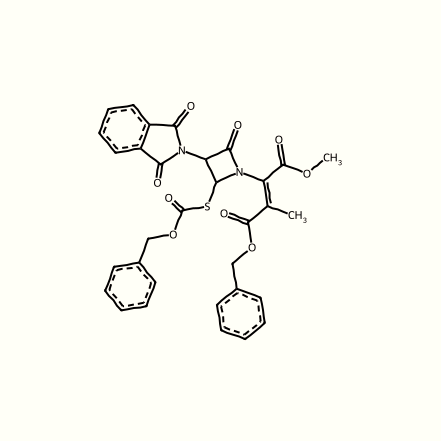 COC(=O)C(=C(C)C(=O)OCc1ccccc1)N1C(=O)C(N2C(=O)c3ccccc3C2=O)C1SC(=O)OCc1ccccc1